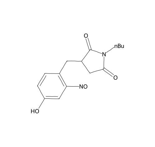 CCCCN1C(=O)CC(Cc2ccc(O)cc2N=O)C1=O